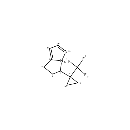 FC(F)(F)C1(C2CCc3ccnn32)CC1